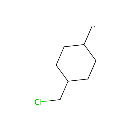 [CH2]C1CCC(CCl)CC1